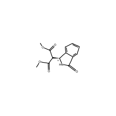 COC(=O)C(C(=O)OC)[C@@H]1NC(=O)c2ccccc21